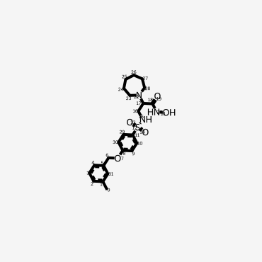 Cc1cccc(COc2ccc(S(=O)(=O)NCC(C(=O)NO)N3CCCCCC3)cc2)c1